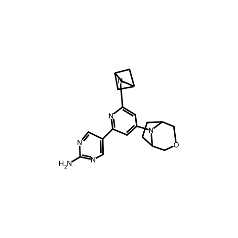 Nc1ncc(-c2cc(N3C4CCC3COC4)cc(N3CC4CC3C4)n2)cn1